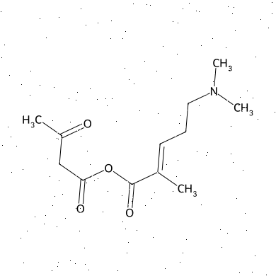 CC(=O)CC(=O)OC(=O)C(C)=CCCN(C)C